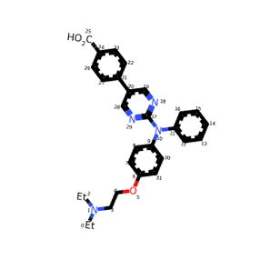 CCN(CC)CCOc1ccc(N(c2ccccc2)c2ncc(-c3ccc(C(=O)O)cc3)cn2)cc1